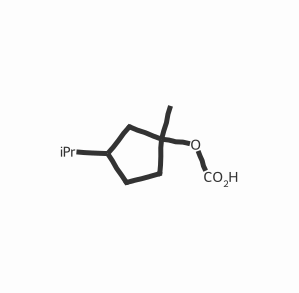 CC(C)C1CCC(C)(OC(=O)O)C1